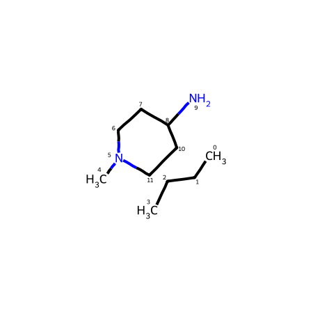 CCCC.CN1CCC(N)CC1